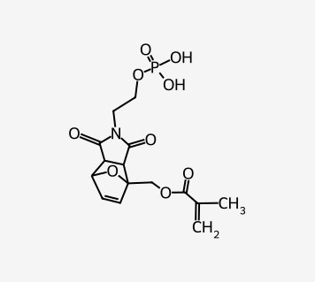 C=C(C)C(=O)OCC12C=CC(O1)C1C(=O)N(CCOP(=O)(O)O)C(=O)C12